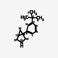 CC(C)(C)c1cccc(C23CNCC2C3)c1